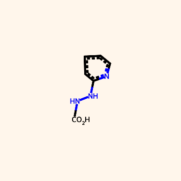 O=C(O)NNc1ccccn1